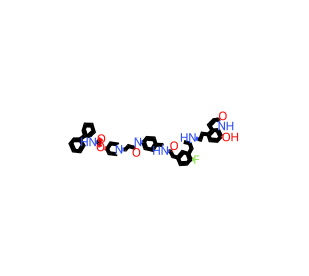 CC(Cc1cc(CC(=O)NCc2ccc(N(C)C(=O)CCN3CCC(OC(=O)Nc4ccccc4-c4ccccc4)CC3)cc2)ccc1F)NCCc1ccc(O)c2[nH]c(=O)ccc12